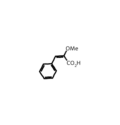 COC(=Cc1ccccc1)C(=O)O